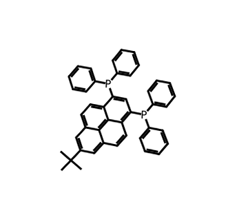 CC(C)(C)c1cc2ccc3c(P(c4ccccc4)c4ccccc4)cc(P(c4ccccc4)c4ccccc4)c4ccc(c1)c2c34